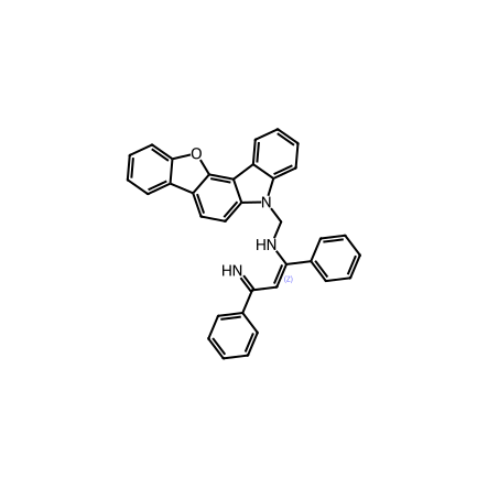 N=C(/C=C(\NCn1c2ccccc2c2c3oc4ccccc4c3ccc21)c1ccccc1)c1ccccc1